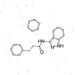 O=C(CCc1ccccc1)Nc1n[nH]c2ccccc12.[c]1ccccc1